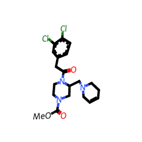 COC(=O)N1CCN(C(=O)Cc2ccc(Cl)c(Cl)c2)C(CN2CC=CCC2)C1